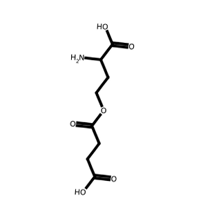 NC(CCOC(=O)CCC(=O)O)C(=O)O